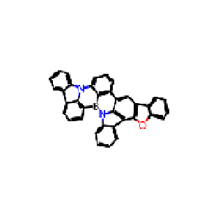 c1cc2c3c(c1)-n1c4ccccc4c4cccc(c41)B3n1c3ccccc3c3c4oc5ccccc5c4cc-2c31